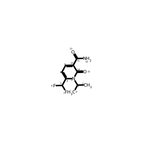 CC(C)n1c(C(F)F)ccc(C(N)=O)c1=O